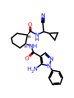 N#CC(NC(=O)[C@@H]1CCCC[C@@H]1NC(=O)c1cnn(-c2ccccc2)c1N)C1CC1